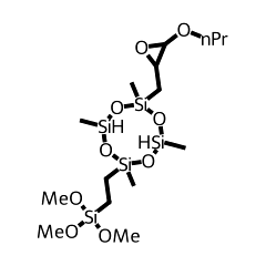 CCCOC1OC1C[Si]1(C)O[SiH](C)O[Si](C)(CC[Si](OC)(OC)OC)O[SiH](C)O1